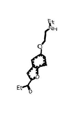 CCNCCOc1ccc2oc(C(=O)CC)cc2c1